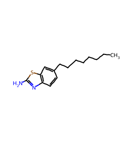 CCCCCCCCc1ccc2nc(N)sc2c1